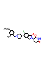 COc1ccc(CN2CCC(c3cc4c(cc3F)C(=O)N(C3CCC(=O)NC3=O)C4)CC2)c(C#N)c1